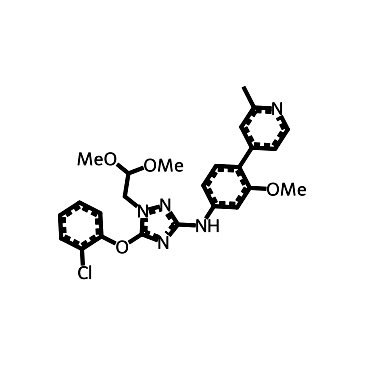 COc1cc(Nc2nc(Oc3ccccc3Cl)n(CC(OC)OC)n2)ccc1-c1ccnc(C)c1